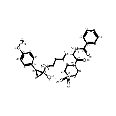 C[C@@]1(NCCCC[C@H](NC(=O)c2ccccc2)C(=O)N2CCS(=O)(=O)CC2)C[C@H]1c1ccc(OC(F)(F)F)cc1